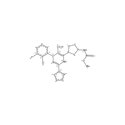 CC(C)(C)OC(=O)NC1COC(C2=C(C(=O)O)C(c3cccc(F)c3Cl)N=C(c3nccs3)N2)C1